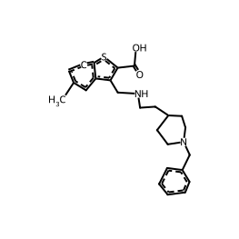 Cc1ccc2sc(C(=O)O)c(CNCCC3CCN(Cc4ccccc4)CC3)c2c1